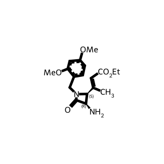 CCOC(=O)C=C(C)[C@H]1[C@@H](N)C(=O)N1Cc1ccc(OC)cc1OC